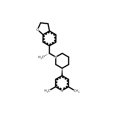 Cc1cc([C@@H]2CCCN([C@H](C)c3ccc4c(c3)OCC4)C2)cc(C)n1